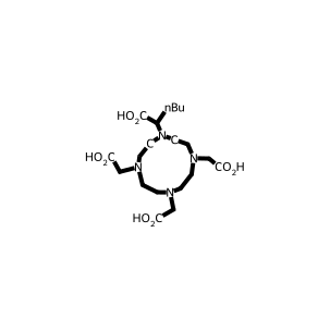 CCCCC(C(=O)O)N1CCN(CC(=O)O)CCN(CC(=O)O)CCN(CC(=O)O)CC1